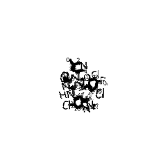 Cc1cncc(-n2c(=O)nc(Nc3cc4cn(C)nc4cc3Cl)n(Cc3cc(Cl)c(F)c(Cl)c3)c2=O)c1